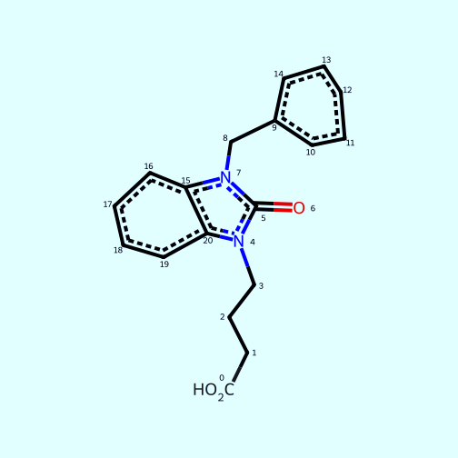 O=C(O)CCCn1c(=O)n(Cc2ccccc2)c2ccccc21